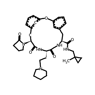 CC1(CNC(=O)[C@@H]2Cc3cccc(c3)Oc3cccc(c3)C[C@H](N3CCCC3=O)C(=O)N[C@@H](CCN3CCCCC3)C(=O)N2)CC1